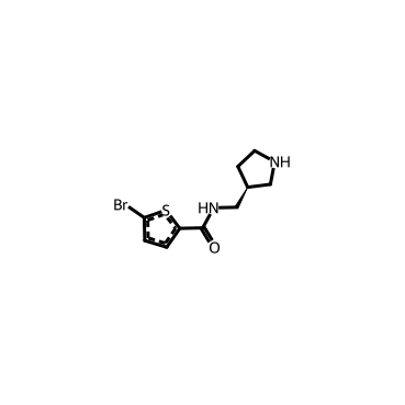 O=C(NC[C@H]1CCNC1)c1ccc(Br)s1